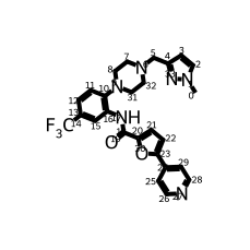 Cn1ccc(CN2CCN(c3ccc(C(F)(F)F)cc3NC(=O)c3ccc(-c4ccncc4)o3)CC2)n1